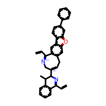 C=CC1=NC(/C2=C/Cc3cc4oc5cc(-c6ccccc6)ccc5c4cc3/C(C=C)=N\C2)C(C)c2ccccc21